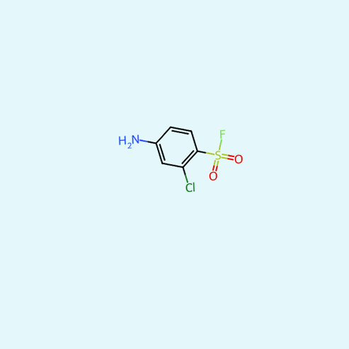 Nc1ccc(S(=O)(=O)F)c(Cl)c1